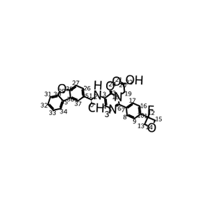 C[C@@H](Nc1cnc(-c2ccc(C3(F)COC3)cc2)n(CC(=O)O)c1=O)c1ccc2oc3ccccc3c2c1